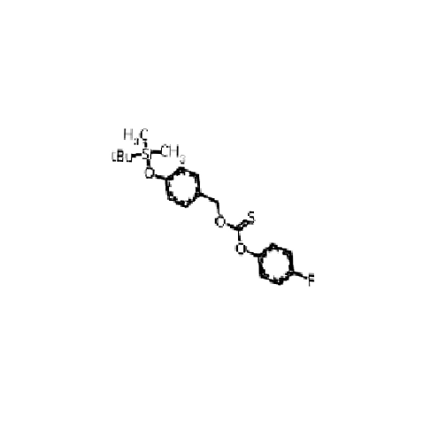 CC(C)(C)[Si](C)(C)Oc1ccc(COC(=S)Oc2ccc(F)cc2)cc1